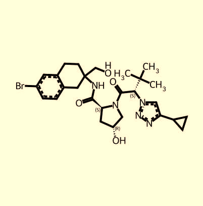 CC(C)(C)[C@@H](C(=O)N1C[C@H](O)C[C@H]1C(=O)NC1(CO)CCc2cc(Br)ccc2C1)n1cc(C2CC2)nn1